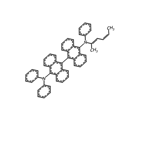 C/C=C\C=C(/C)N(c1ccccc1)c1c2ccccc2c(-c2c3ccccc3c(N(c3ccccc3)c3ccccc3)c3ccccc23)c2ccccc12